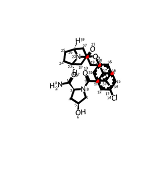 NC(=O)[C@@H]1C[C@H](O)CN1C(=O)c1cc(Cl)ccc1OCC(=O)N1[C@@H]2CC[C@H]1CC(Oc1ccc(F)cc1)C2